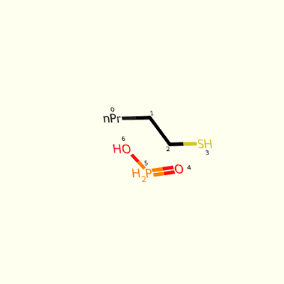 CCCCCS.O=[PH2]O